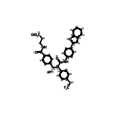 CCC[C@H](c1ccc(C(=O)NCCC(=O)OCC)cc1)[C@@H](C(=O)Nc1ccc(-c2cc3ccccc3o2)cc1)c1ccc(OC(F)(F)F)cc1